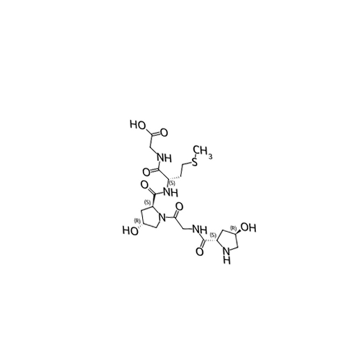 CSCC[C@H](NC(=O)[C@@H]1C[C@@H](O)CN1C(=O)CNC(=O)[C@@H]1C[C@@H](O)CN1)C(=O)NCC(=O)O